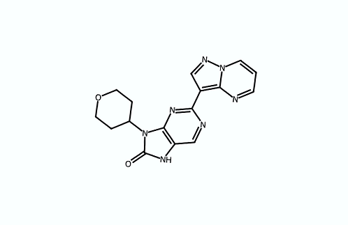 O=c1[nH]c2cnc(-c3cnn4cccnc34)nc2n1C1CCOCC1